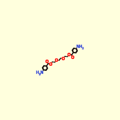 Nc1ccc(C(=O)OCCOCCOCCOC(=O)c2ccc(N)cc2)cc1